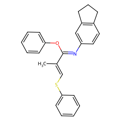 CC(=CSc1ccccc1)C(=Nc1ccc2c(c1)CCC2)Oc1ccccc1